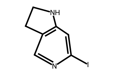 Ic1cc2c(cn1)CCN2